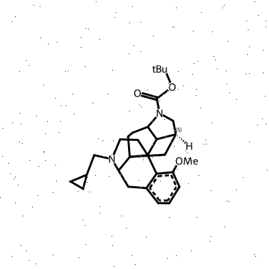 COc1cccc2c1C13CCN(CC4CC4)C(C2)C12CCC1C3[C@@H](CN1C(=O)OC(C)(C)C)C2